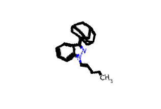 CCCCCn1nc(C23CC4CC(CC(C4)C2)C3)c2ccccc21